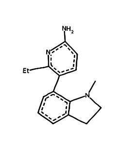 CCc1nc(N)ccc1-c1cccc2c1N(C)CC2